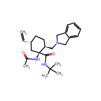 C=C[C@@H]1CC[C@@H](CN2Cc3ccccc3C2)[C@](NC(C)=O)(C(=O)NC(C)(C)C)C1